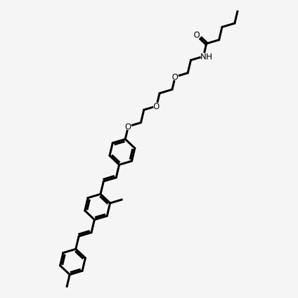 CCCCC(=O)NCCOCCOCCOc1ccc(/C=C/c2ccc(/C=C/c3ccc(C)cc3)cc2C)cc1